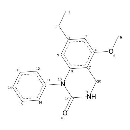 CCc1cc(OC)c2c(c1)N(c1ccccc1)C(=O)NC2